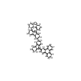 c1ccc2c(c1)oc1cccc(-n3c4ccccc4c4cc(-c5ccc6c(c5)c5ccccc5n6-c5ccc6c7ccccc7c7ccccc7c6c5)ccc43)c12